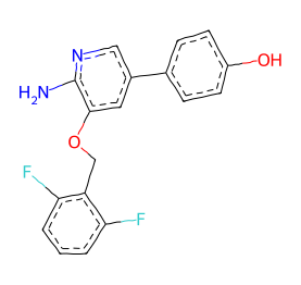 Nc1ncc(-c2ccc(O)cc2)cc1OCc1c(F)cccc1F